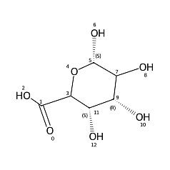 O=C(O)C1O[C@H](O)C(O)[C@H](O)[C@@H]1O